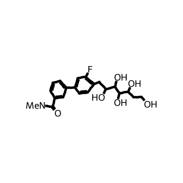 CNC(=O)c1cccc(-c2ccc(CC(O)C(O)C(O)C(O)CCO)c(F)c2)c1